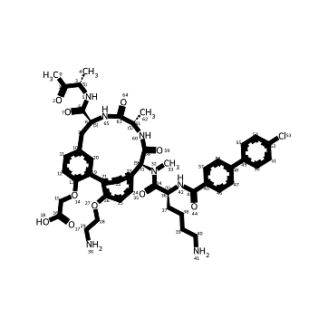 CC(=O)[C@H](C)NC(=O)[C@@H]1Cc2ccc(OCC(=O)O)c(c2)-c2cc(ccc2OCCN)[C@H](N(C)C(=O)[C@H](CCCCN)NC(=O)c2ccc(-c3ccc(Cl)cc3)cc2)C(=O)N[C@@H](C)C(=O)N1